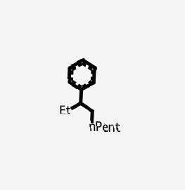 [CH2]CCCCCC(CC)c1ccccc1